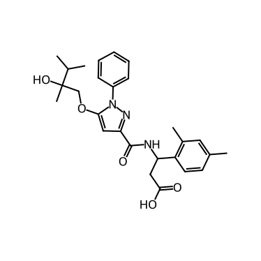 Cc1ccc(C(CC(=O)O)NC(=O)c2cc(OCC(C)(O)C(C)C)n(-c3ccccc3)n2)c(C)c1